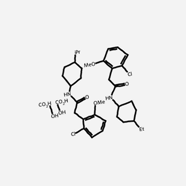 CCC1CCC(NC(=O)Cc2c(Cl)cccc2OC)CC1.COc1cccc(Cl)c1CC(=O)NC1CCC(C(C)C)CC1.O=C(O)O.O=C(O)O